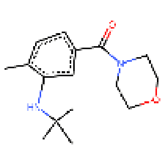 Cc1ccc(C(=O)N2CCOCC2)cc1NC(C)(C)C